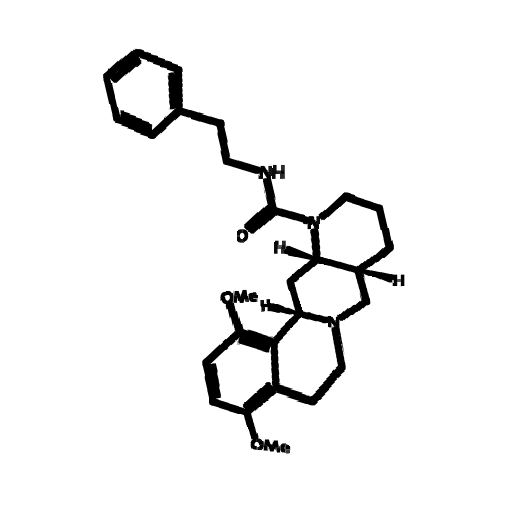 COc1ccc(OC)c2c1CCN1C[C@H]3CCCN(C(=O)NCCc4ccccc4)[C@H]3C[C@@H]21